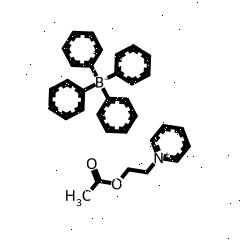 CC(=O)OCC[n+]1ccccc1.c1ccc([B-](c2ccccc2)(c2ccccc2)c2ccccc2)cc1